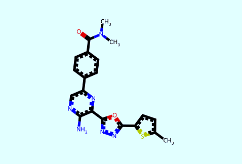 Cc1ccc(-c2nnc(-c3nc(-c4ccc(C(=O)N(C)C)cc4)cnc3N)o2)s1